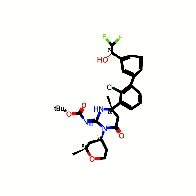 C[C@H]1C[C@@H](N2C(=O)C[C@@](C)(c3cccc(-c4cccc([C@H](O)C(F)F)c4)c3Cl)N/C2=N\C(=O)OC(C)(C)C)CCO1